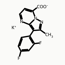 Cc1nn2c(C(=O)[O-])ccnc2c1-c1ccc(F)cc1F.[K+]